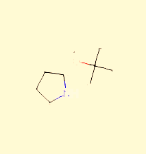 CC(C)(C)O[C@H]1CCCN1